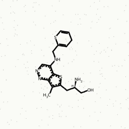 Cc1c(C[C@@H](N)CO)sc2c(NCC3=CCC=CS3)cnnc12